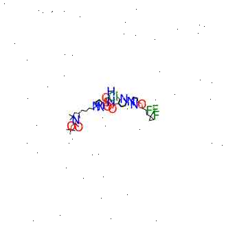 CC(C)(C)OC(=O)N1CC(CCCCn2ccc(S(=O)(=O)NC(=O)c3ccc(-n4ccc(OCCCC5(C(F)(F)F)CC5)n4)nc3Cl)n2)CC1(C)C